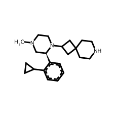 CN1CCN(C2CC3(CCNCC3)C2)[C@@H](c2ccccc2C2CC2)C1